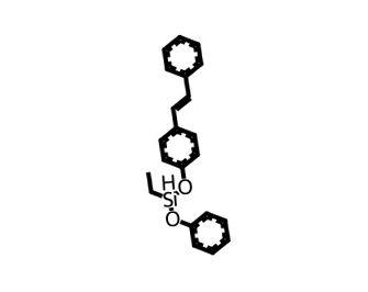 CC[SiH](Oc1ccccc1)Oc1ccc(C=Cc2ccccc2)cc1